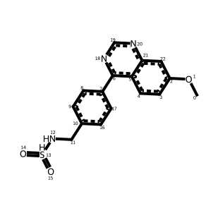 COc1ccc2c(-c3ccc(CN[SH](=O)=O)cc3)ncnc2c1